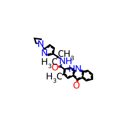 Cc1cc2c(=O)c3ccccc3[nH]c2cc1C(=O)NC(C)(C)c1ccc(N2CCC2)nc1